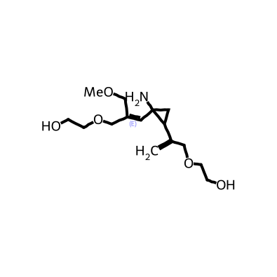 C=C(COCCO)C1CC1(N)/C=C(\COC)COCCO